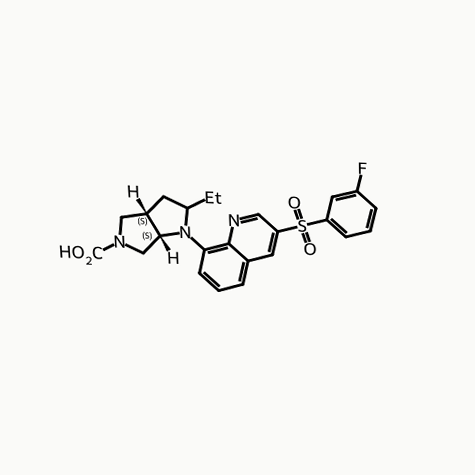 CCC1C[C@H]2CN(C(=O)O)C[C@H]2N1c1cccc2cc(S(=O)(=O)c3cccc(F)c3)cnc12